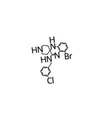 Clc1cccc(CNC2=Nc3c(Br)cccc3NC23CCNCC3)c1